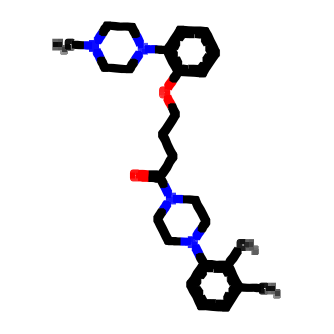 Cc1cccc(N2CCN(C(=O)CCCOc3ccccc3N3CCN(C)CC3)CC2)c1C